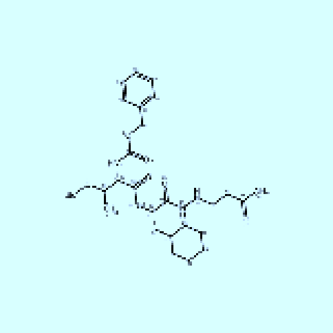 C[C@@H](OC(C)(C)C)[C@H](NC(=O)OCc1ccccc1)C(=O)N[C@@H](CC1CCCCC1)C(=O)NNCCC(N)=O